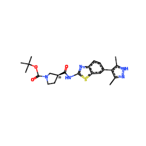 Cc1n[nH]c(C)c1-c1ccc2nc(NC(=O)[C@H]3CCN(C(=O)OC(C)(C)C)C3)sc2c1